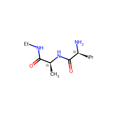 CCNC(=O)[C@H](C)NC(=O)[C@@H](N)C(C)C